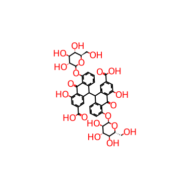 O=C(O)c1cc(O)c2c(c1)C(C1c3cc(C(=O)O)cc(O)c3C(=O)c3c(O[C@H]4O[C@H](CO)[C@@H](O)[C@H](O)[C@H]4O)cccc31)c1cccc(OC3O[C@H](CO)[C@@H](O)[C@H](O)[C@H]3O)c1C2=O